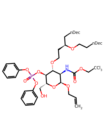 C=CCO[C@H]1O[C@H](CO)[C@@H](OP(=O)(Oc2ccccc2)Oc2ccccc2)[C@H](OCC[C@@H](CCCCCCCCCCC)OCCCCCCCCCCCC)[C@H]1NC(=O)OCC(Cl)(Cl)Cl